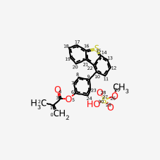 C=C(C)C(=O)Oc1ccc(-c2cccc3sc4ccccc4c23)cc1.COS(=O)(=O)O